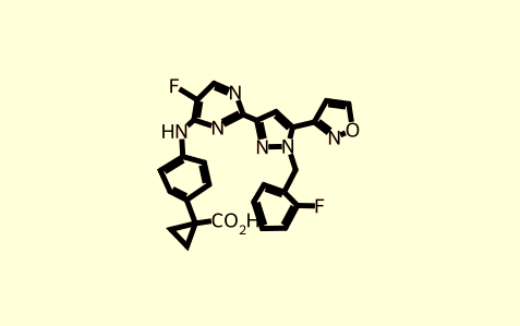 O=C(O)C1(c2ccc(Nc3nc(-c4cc(-c5ccon5)n(Cc5ccccc5F)n4)ncc3F)cc2)CC1